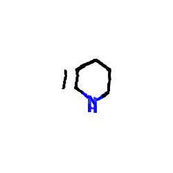 C1CCNCC1.CC